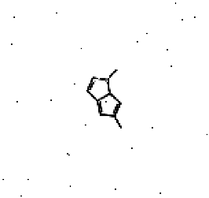 CC1=CC2C(=[C]1)C=CN2C